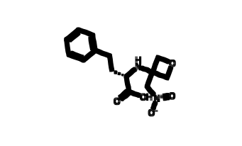 O=C(O)[C@H](CCc1ccccc1)NC1(C[N+](=O)[O-])COC1